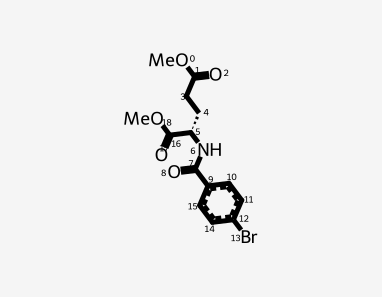 COC(=O)CC[C@H](NC(=O)c1ccc(Br)cc1)C(=O)OC